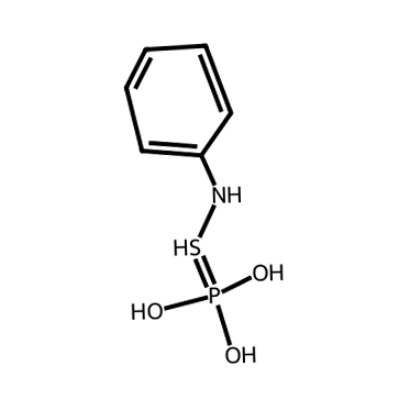 OP(O)(O)=[SH]Nc1ccccc1